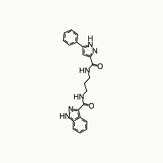 O=C(NCCCNC(=O)c1n[nH]c2ccccc12)c1cc(-c2ccccc2)[nH]n1